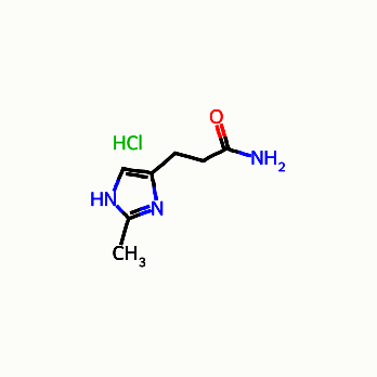 Cc1nc(CCC(N)=O)c[nH]1.Cl